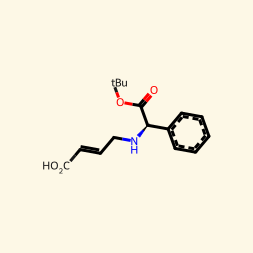 CC(C)(C)OC(=O)[C@H](NC/C=C/C(=O)O)c1ccccc1